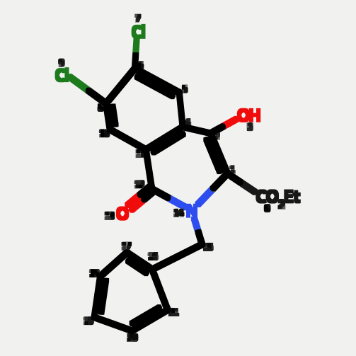 CCOC(=O)c1c(O)c2cc(Cl)c(Cl)cc2c(=O)n1Cc1ccccc1